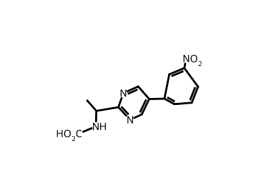 CC(NC(=O)O)c1ncc(-c2cccc([N+](=O)[O-])c2)cn1